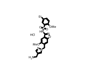 CCc1ccc(OC)c(S(=O)(=O)Nc2noc3cc(Cn4cc(CN)cn4)c(OC)cc23)c1.Cl